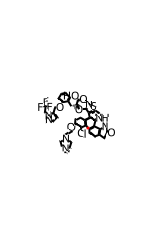 CC1=C(c2c(-c3cccc4c3NC(=O)C4)ncc3snc(O[C@H](Cc4ccccc4OCc4ccnn4CC(F)(F)F)C(=O)O)c23)CCC(OCCN2CCN(C)CC2)=C1Cl